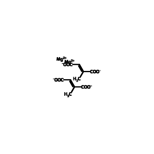 CC(=CC(=O)[O-])C(=O)[O-].CC(=CC(=O)[O-])C(=O)[O-].[Mg+2].[Mg+2]